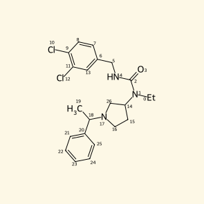 CCN(C(=O)NCc1ccc(Cl)c(Cl)c1)C1CCN(C(C)c2ccccc2)C1